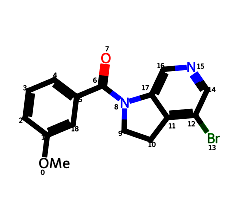 COc1cccc(C(=O)N2CCc3c(Br)cncc32)c1